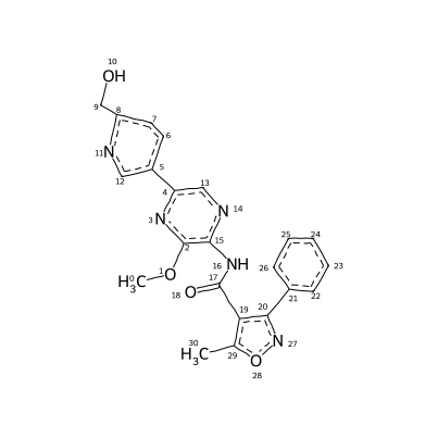 COc1nc(-c2ccc(CO)nc2)cnc1NC(=O)c1c(-c2ccccc2)noc1C